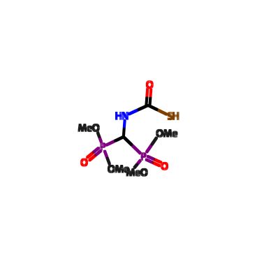 COP(=O)(OC)C(NC(=O)S)P(=O)(OC)OC